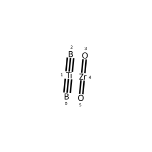 [B]#[Ti]#[B].[O]=[Zr]=[O]